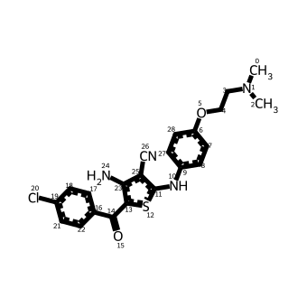 CN(C)CCOc1ccc(Nc2sc(C(=O)c3ccc(Cl)cc3)c(N)c2C#N)cc1